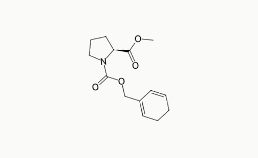 COC(=O)[C@@H]1CCCN1C(=O)OCC1=CCCC=C1